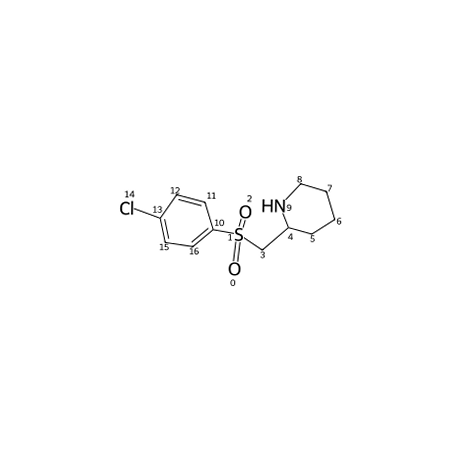 O=S(=O)(CC1CCCCN1)c1ccc(Cl)cc1